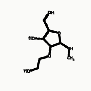 CBC1OC(CO)C(O)C1OCCO